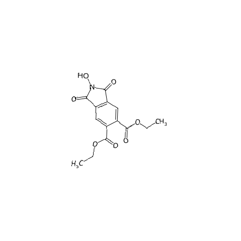 CCOC(=O)c1cc2c(cc1C(=O)OCC)C(=O)N(O)C2=O